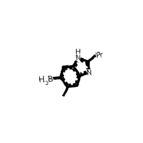 Bc1cc2[nH]c(C(C)C)nc2cc1C